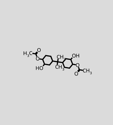 CC(=O)OC1CCC(C(C)(C)C2CCC(OC(C)=O)C(O)C2)CC1O